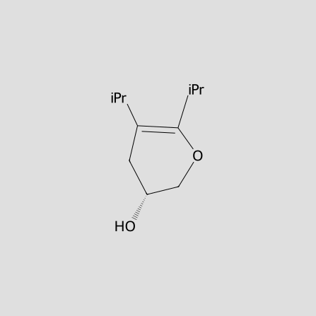 CC(C)C1=C(C(C)C)OC[C@H](O)C1